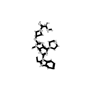 CCc1nc2ccccc2n1-c1nc(N2CCOCC2)c2nc(OC3CN(C(=O)[C@@H](C)OC)C3)n(C)c2n1